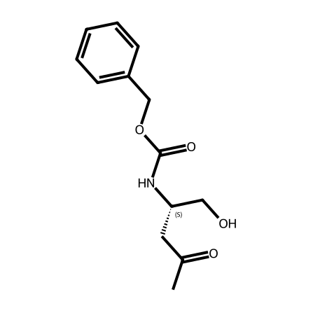 CC(=O)C[C@@H](CO)NC(=O)OCc1ccccc1